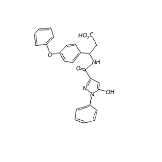 O=C(O)CC(NC(=O)c1cc(O)n(-c2ccccc2)n1)c1ccc(Oc2ccccc2)cc1